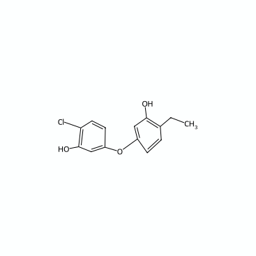 CCc1ccc(Oc2ccc(Cl)c(O)c2)cc1O